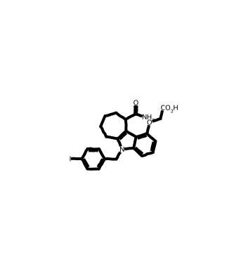 NC(=O)C1CCCCc2c1c1c(OCC(=O)O)cccc1n2Cc1ccc(I)cc1